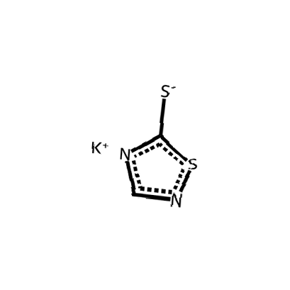 [K+].[S-]c1ncns1